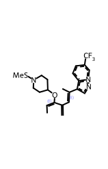 C=C(/C=C(\C)c1cnn2cc(C(F)(F)F)ccc12)/C(=C\C)OC1CCN(SC)CC1